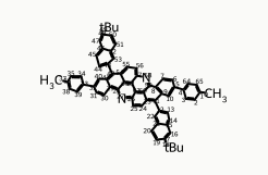 Cc1ccc(-c2ccc3c(c2)c(-c2ccc4cc(C(C)(C)C)ccc4c2)c2ccc4nc5c6ccc(-c7ccc(C)cc7)cc6c(-c6ccc7cc(C(C)(C)C)ccc7c6)c6ccc7nc3c2c4c7c65)cc1